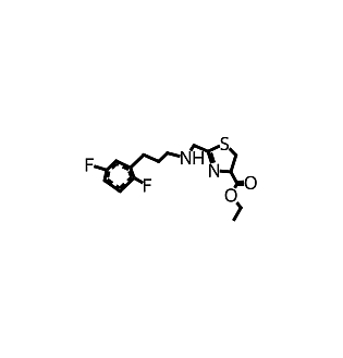 CCOC(=O)C1CSC(CNCCCc2cc(F)ccc2F)=N1